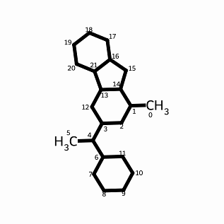 CC1CC(C(C)C2CCCCC2)CC2C1CC1CCCCC12